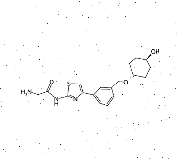 NCC(=O)Nc1nc(-c2cccc(CO[C@H]3CC[C@H](O)CC3)c2)cs1